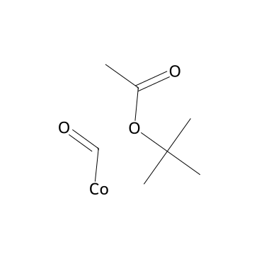 CC(=O)OC(C)(C)C.O=[CH][Co]